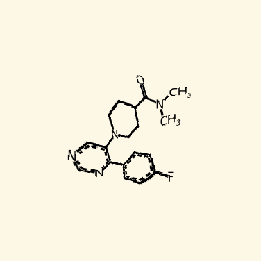 CN(C)C(=O)C1CCN(c2cncnc2-c2ccc(F)cc2)CC1